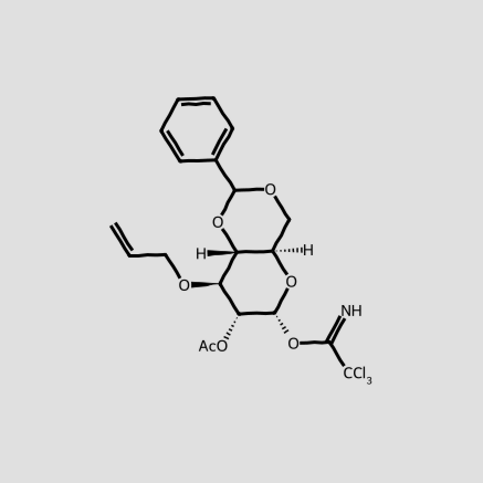 C=CCO[C@@H]1[C@@H](OC(C)=O)[C@@H](OC(=N)C(Cl)(Cl)Cl)O[C@@H]2COC(c3ccccc3)O[C@@H]12